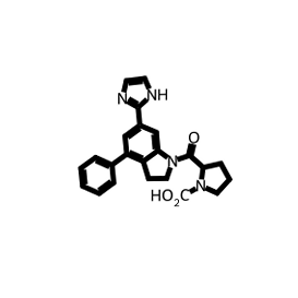 O=C(C1CCCN1C(=O)O)N1CCc2c(-c3ccccc3)cc(-c3ncc[nH]3)cc21